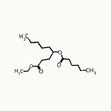 CCCCCC(=O)OC(CCCCC)CCC(=O)OCC